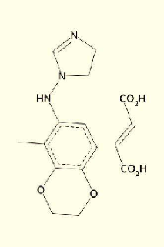 Cc1c(NN2C=NCC2)ccc2c1OCCO2.O=C(O)C=CC(=O)O